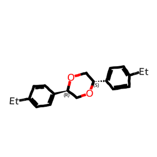 CCc1ccc([C@@H]2CO[C@@H](c3ccc(CC)cc3)CO2)cc1